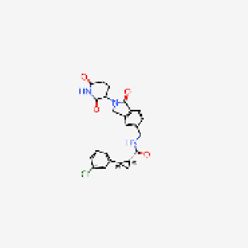 O=C1CCC(N2Cc3cc(CNC(=O)[C@@H]4C[C@H]4c4cccc(Cl)c4)ccc3C2=O)C(=O)N1